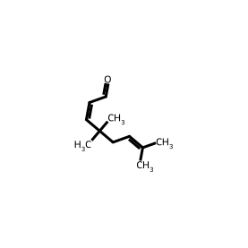 CC(C)=CCC(C)(C)/C=C\C=O